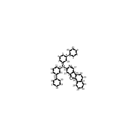 c1ccc(-c2cccc(N(c3cccc(-c4ccccc4)c3)c3cc4oc5c6ccccc6ccc5c4cn3)c2)cc1